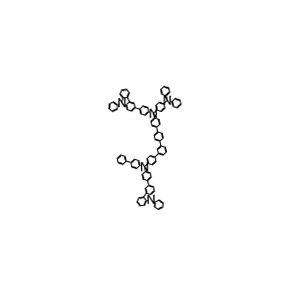 c1ccc(-c2ccc(N(c3ccc(-c4cccc(-c5ccc(-c6ccc(N(c7ccc(-c8ccc9c(c8)c8ccccc8n9-c8ccccc8)cc7)c7ccc(N(c8ccccc8)c8ccccc8)cc7)cc6)cc5)c4)cc3)c3ccc(-c4ccc5c(c4)c4ccccc4n5-c4ccccc4)cc3)cc2)cc1